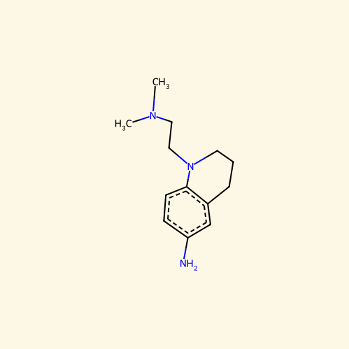 CN(C)CCN1CCCc2cc(N)ccc21